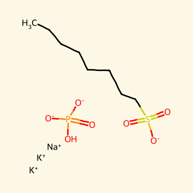 CCCCCCCCS(=O)(=O)[O-].O=P([O-])([O-])O.[K+].[K+].[Na+]